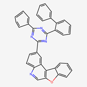 c1ccc(-c2nc(-c3ccc4ncc5oc6ccccc6c5c4c3)nc(-c3ccccc3-c3ccccc3)n2)cc1